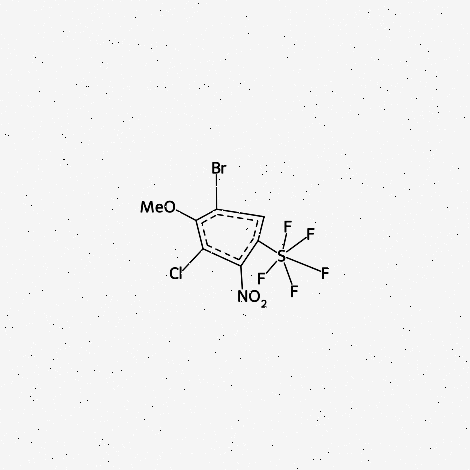 COc1c(Br)cc(S(F)(F)(F)(F)F)c([N+](=O)[O-])c1Cl